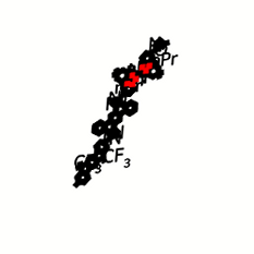 CCCC12CC(C)(C)CC(CCC)(CC(C)(C)C1)C21c2cc(-c3ncc(C)o3)ccc2-c2nc3c(nc21)-c1ccc(-c2nnc4c5cc6c7ccccc7n7c(-c8ccc9c(c8)C(C)(C(F)(F)F)c8cc%10c(cc8-9)C(C)(C(F)(F)F)c8cc(C)ccc8-%10)nnc7c6cc5c5ccccc5n24)cc1C31C2(CCC)CC(C)(C)CC1(CCC)CC(C)(C)C2